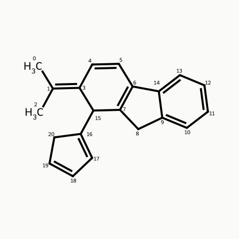 CC(C)=C1C=CC2=C(Cc3ccccc32)C1C1=CC=CC1